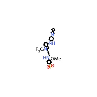 COc1cc(S(C)(=O)=O)ccc1NCC#Cc1cc2c(N[C@H]3CC[C@H](N4CC5(CCC5)C4)CC3)cccc2n1CC(F)(F)F